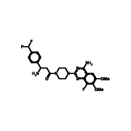 COc1cc2c(N)nc(N3CCN(C(=O)CC(N)c4ccc(C(F)F)cc4)CC3)nc2c(F)c1OC